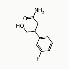 NC(=O)CC(CO)c1cccc(F)c1